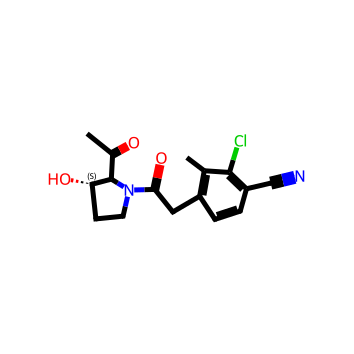 CC(=O)C1[C@@H](O)CCN1C(=O)Cc1ccc(C#N)c(Cl)c1C